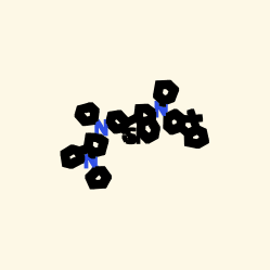 CC1(C)c2ccccc2-c2ccc(N(c3ccccc3)c3ccc4c5c(cccc35)[Si](C)(C)c3cc(N(c5ccccc5)c5ccc6c(c5)c5ccccc5n6-c5ccccc5)ccc3-4)cc21